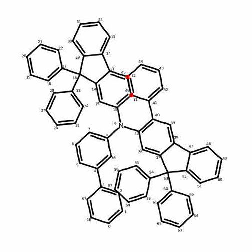 c1ccc(-c2cccc(N(c3ccc4c(c3)C(c3ccccc3)(c3ccccc3)c3ccccc3-4)c3cc4c(cc3-c3ccccc3)-c3ccccc3C4(c3ccccc3)c3ccccc3)c2)cc1